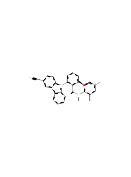 Cc1cc(C)c(N(C)C(=O)c2c(C=O)cccc2-n2c3ccccc3c3cc(C#N)ccc32)c(C)c1